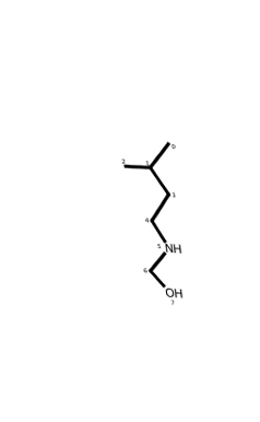 CC(C)CCNCO